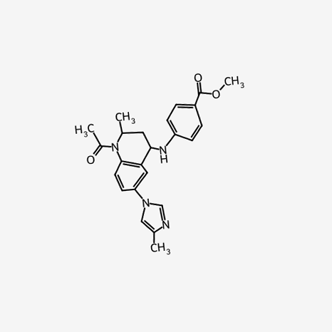 COC(=O)c1ccc(NC2CC(C)N(C(C)=O)c3ccc(-n4cnc(C)c4)cc32)cc1